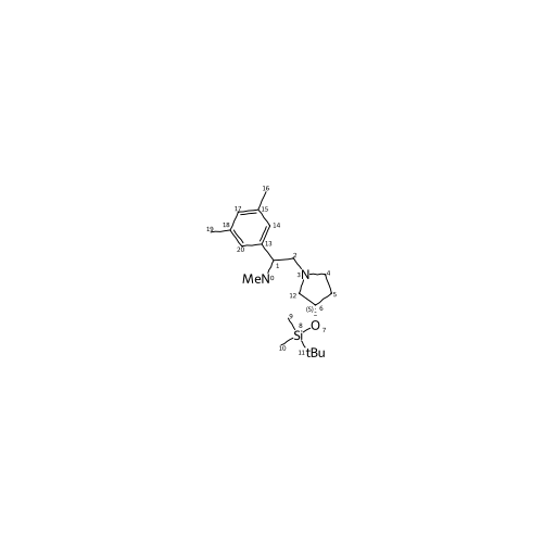 CNC(CN1CC[C@H](O[Si](C)(C)C(C)(C)C)C1)c1cc(C)cc(C)c1